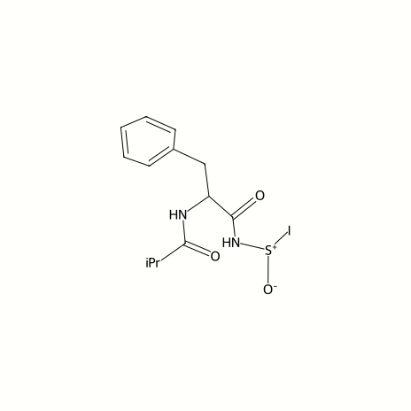 CC(C)C(=O)NC(Cc1ccccc1)C(=O)N[S+]([O-])I